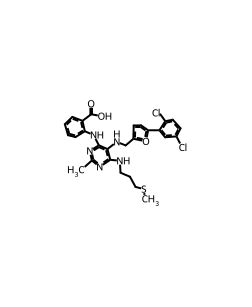 CSCCCNc1nc(C)nc(Nc2ccccc2C(=O)O)c1NCc1ccc(-c2cc(Cl)ccc2Cl)o1